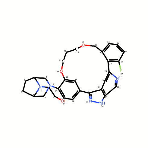 OCCN1C2CCC1CN(c1ccc3cc1OCCCOCc1cccc(F)c1-c1cc4c-3n[nH]c4cn1)C2